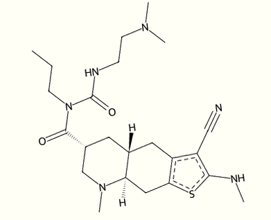 CCCN(C(=O)NCCN(C)C)C(=O)[C@@H]1C[C@@H]2Cc3c(sc(NC)c3C#N)C[C@H]2N(C)C1